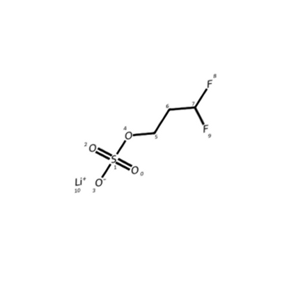 O=S(=O)([O-])OCCC(F)F.[Li+]